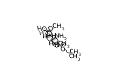 CCO[C@H]1C[C@@]2(C)[C@@H](CC[C@@H]3[C@@H]2[C@H](N)C[C@]2(C)[C@@H](C(=O)OCCC(C)C)CC[C@@H]32)C[C@@H]1O